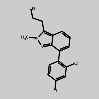 Cn1nc2c(-c3ccc(Cl)cc3Cl)cccc2c1CCC#N